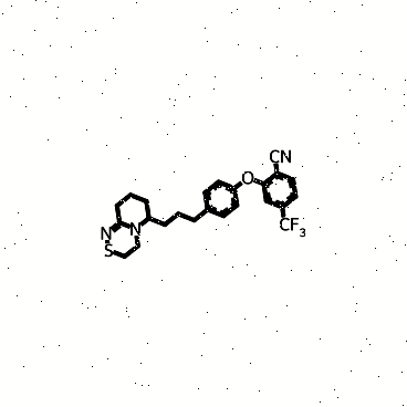 N#Cc1ccc(C(F)(F)F)cc1Oc1ccc(CCCC2CCCC3=NSCCN32)cc1